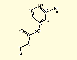 CCCC(=O)Oc1ccnc(Br)c1